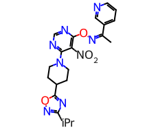 CC(=NOc1ncnc(N2CCC(c3nc(C(C)C)no3)CC2)c1[N+](=O)[O-])c1cccnc1